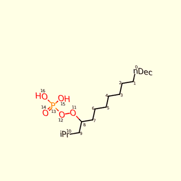 CCCCCCCCCCCCCCCCCC(CC(C)C)OOP(=O)(O)O